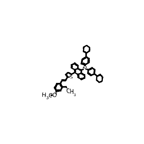 CCc1cc(OC)ccc1/C=C/c1ccc(-c2c3ccccc3c(N(c3ccc(C4CCCCC4)cc3)c3ccc(C4CCCCC4)cc3)c3ccccc23)s1